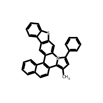 Cc1cc(-c2ccccc2)n2c3cc4sc5ccccc5c4cc3c3c4ccccc4ccc3c12